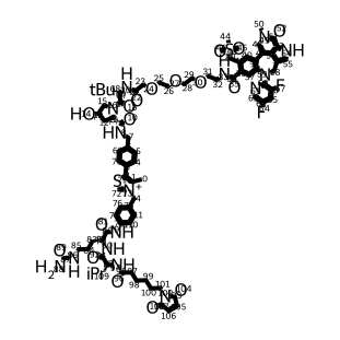 Cc1c(-c2ccc(CNC(=O)[C@@H]3C[C@@H](O)CN3C(=O)[C@@H](NC(=O)COCCOCCOCCNC(=O)c3cc4c(cc3CS(C)(=O)=O)-c3cn(C)c(=O)c5[nH]cc(c35)CN4c3ncc(F)cc3F)C(C)(C)C)cc2)sc[n+]1Cc1ccc(NC(=O)[C@H](CCCNC(N)=O)NC(=O)[C@@H](NC(=O)CCCCCN2C(=O)C=CC2=O)C(C)C)cc1